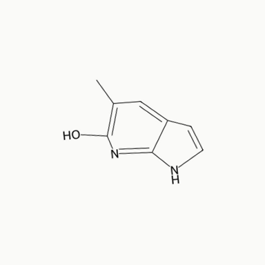 Cc1cc2cc[nH]c2nc1O